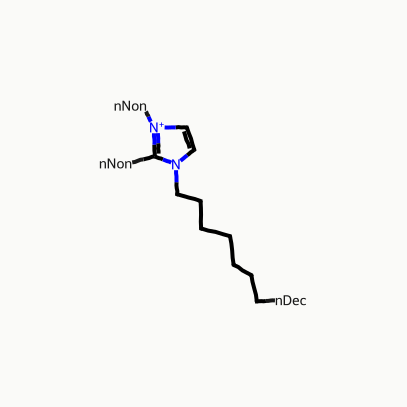 CCCCCCCCCCCCCCCCCn1cc[n+](CCCCCCCCC)c1CCCCCCCCC